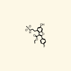 CCOC(=O)c1c(-c2ccc(F)cc2)oc2cc(O)cc(CCNS(C)(=O)=O)c12